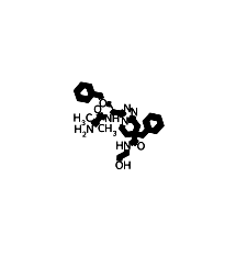 CC(C)(N)C(=O)N[C@H](COCc1ccccc1)c1nnc2n1CCC(Cc1ccccc1)(C(=O)NCCO)C2